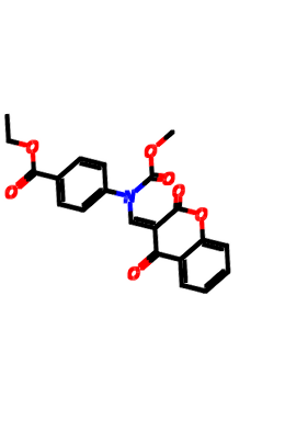 CCOC(=O)c1ccc(N(C=C2C(=O)Oc3ccccc3C2=O)C(=O)OC)cc1